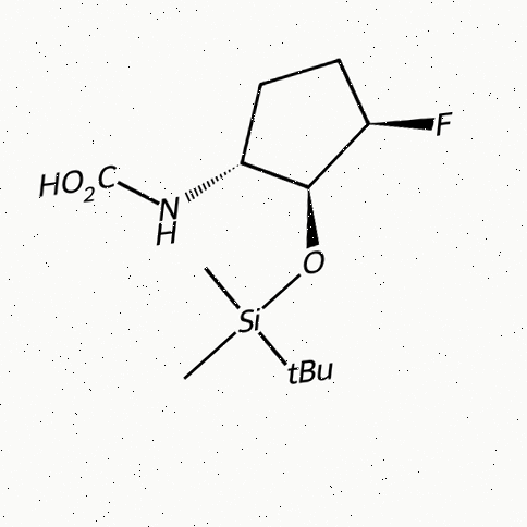 CC(C)(C)[Si](C)(C)O[C@@H]1[C@H](F)CC[C@H]1NC(=O)O